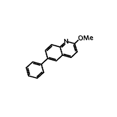 COc1ccc2cc(-c3ccccc3)ccc2n1